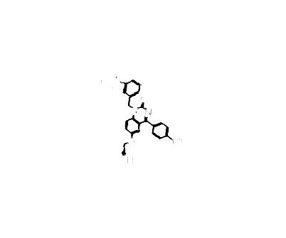 C#CCOc1ccc2c(c1)c(-c1ccc(C(C)C)cc1)nc(=O)n2Cc1cccc([N+](=O)[O-])c1